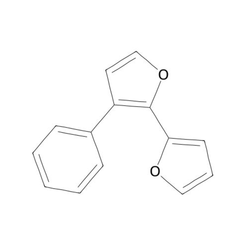 c1ccc(-c2ccoc2-c2ccco2)cc1